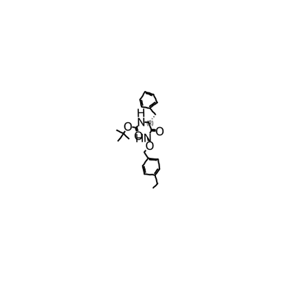 CCc1ccc(CONC(=O)[C@@H](Cc2ccccc2)NC(=O)OC(C)(C)C)cc1